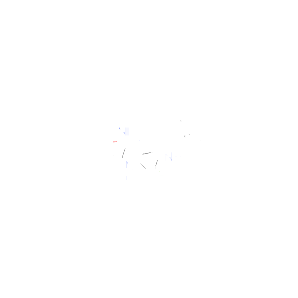 CC(=CC(N)=O)Nc1ccc(NCCC23CC4CC(CC(C4)C2)C3)c(F)c1